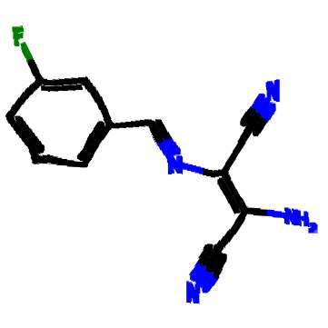 N#C/C(N)=C(C#N)\N=C\c1cccc(F)c1